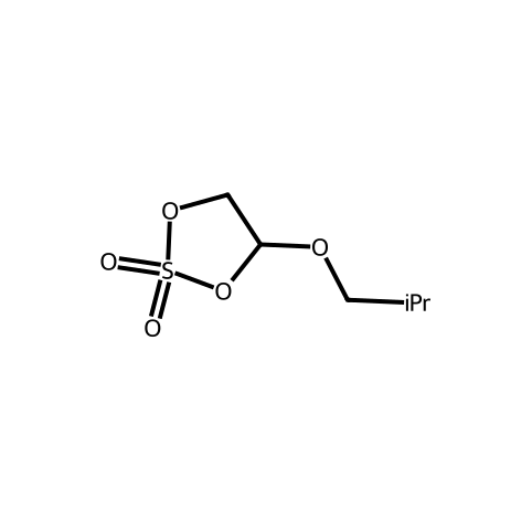 CC(C)COC1COS(=O)(=O)O1